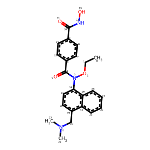 CCON(C(=O)c1ccc(C(=O)NO)cc1)c1ccc(CN(C)C)c2ccccc12